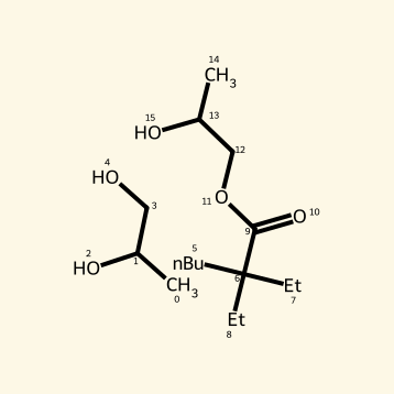 CC(O)CO.CCCCC(CC)(CC)C(=O)OCC(C)O